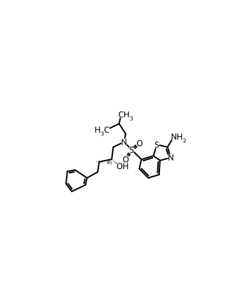 CC(C)CN(C[C@H](O)[CH]Cc1ccccc1)S(=O)(=O)c1cccc2nc(N)sc12